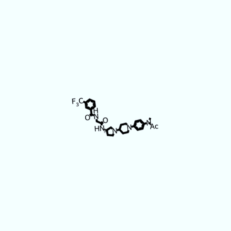 CC(=O)N(C)c1ccc(N2CCC(N3CC[C@@H](NC(=O)CNC(=O)c4cccc(C(F)(F)F)c4)C3)CC2)cc1